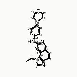 CCn1cnc2ccc3cnc(Nc4ccc(N5CCOCC5)cn4)nc3c21